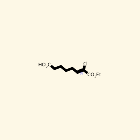 CCOC(=O)/C(Cl)=C/CCCCC(=O)O